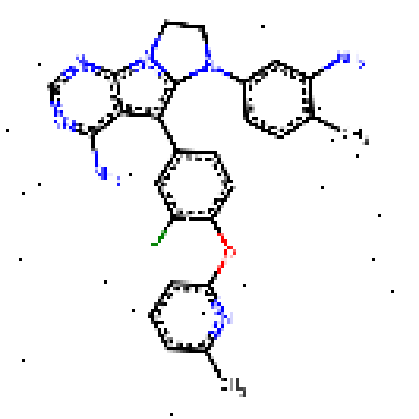 Cc1cccc(Oc2ccc(-c3c4n(c5ncnc(N)c35)CCN4c3ccc(C)c(N)c3)cc2F)n1